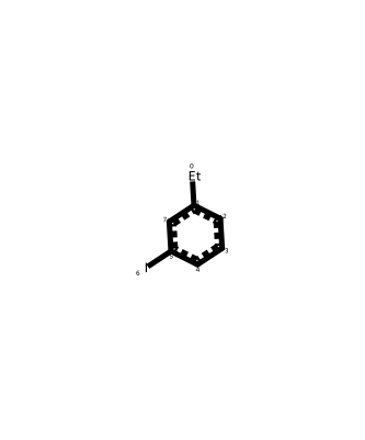 CCc1[c]ccc(I)c1